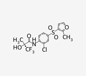 Cc1occc1S(=O)(=O)c1ccc(NC(=O)[C@@](C)(O)C(F)(F)F)c(Cl)c1